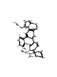 CC(C)(C)N(C(=O)O)C1(c2ccc(-c3nc4c(cc3-c3ccccc3)-n3c(CF)nnc3CO4)cc2)CCC1